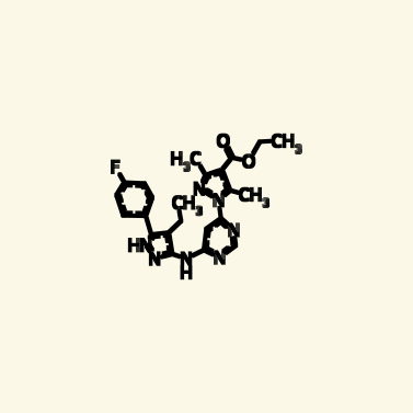 CCOC(=O)c1c(C)nn(-c2cc(Nc3n[nH]c(-c4ccc(F)cc4)c3CC)ncn2)c1C